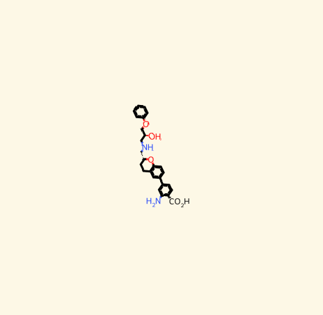 Nc1cc(-c2ccc3c(c2)CC[C@H](CNC[C@H](O)COc2ccccc2)O3)ccc1C(=O)O